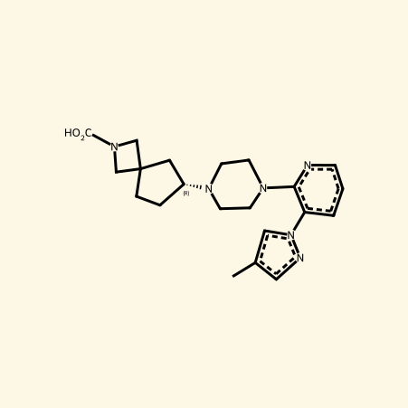 Cc1cnn(-c2cccnc2N2CCN([C@@H]3CCC4(C3)CN(C(=O)O)C4)CC2)c1